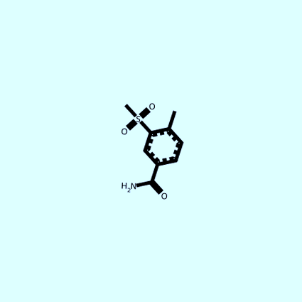 Cc1ccc(C(N)=O)cc1S(C)(=O)=O